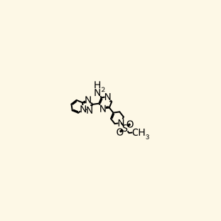 CCS(=O)(=O)N1CC=C(c2cnc(N)c(-c3nc4ccccn4n3)n2)CC1